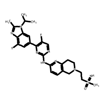 Cc1nc2c(F)cc(-c3nc(Nc4ccc5c(n4)CCN(CCS(C)(=N)=O)C5)ncc3F)cc2n1C(C)C